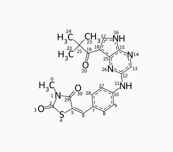 CN1C(=O)SC(=Cc2ccc(Nc3cnc4[nH]cc(C(=O)C(C)(C)C)c4n3)cc2)C1=O